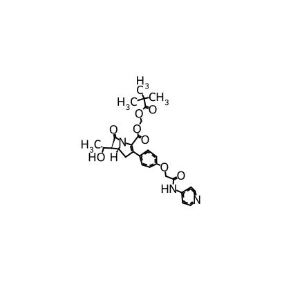 C[C@@H](O)[C@H]1C(=O)N2C(C(=O)OCOC(=O)C(C)(C)C)=C(c3ccc(OCC(=O)Nc4ccncc4)cc3)C[C@H]12